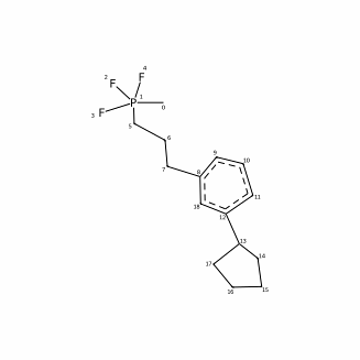 CP(F)(F)(F)CCCc1cccc(C2CCCC2)c1